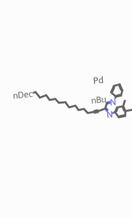 CCCCCCCCCCCCCCCCCCCCCCC#CC(=Nc1ccc(C)c(C)c1)C(CCCC)=Nc1ccccc1.[Pd]